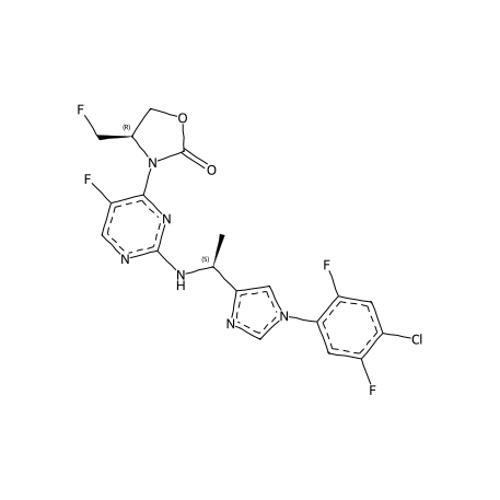 C[C@H](Nc1ncc(F)c(N2C(=O)OC[C@@H]2CF)n1)c1cn(-c2cc(F)c(Cl)cc2F)cn1